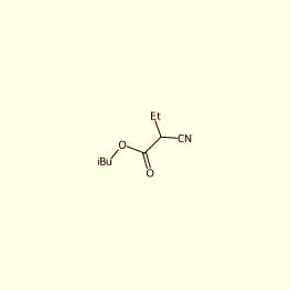 CCC(C)OC(=O)C(C#N)CC